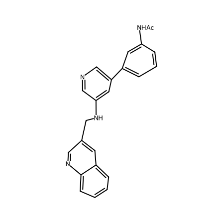 CC(=O)Nc1cccc(-c2cncc(NCc3cnc4ccccc4c3)c2)c1